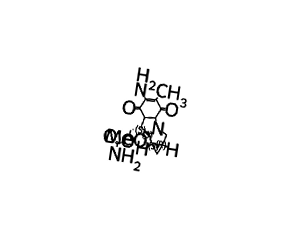 CO[C@@]12[C@H](COC(N)=O)C3C(=O)C(N)=C(C)C(=O)C3N1C[C@@H]1C[C@@H]12